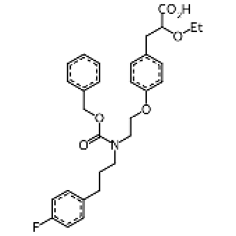 CCOC(Cc1ccc(OCCN(CCCc2ccc(F)cc2)C(=O)OCc2ccccc2)cc1)C(=O)O